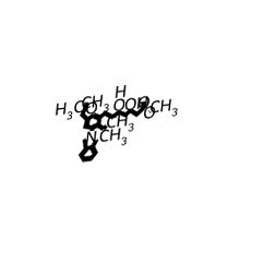 COC(=O)CC(O)CC(O)CCc1c2c(cc(N3Cc4ccccc4C3)c1C(C)C)CC(C)(C)O2